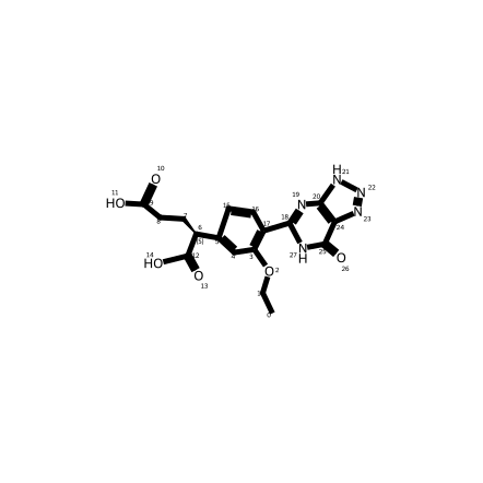 CCOc1cc([C@H](CCC(=O)O)C(=O)O)ccc1-c1nc2[nH]nnc2c(=O)[nH]1